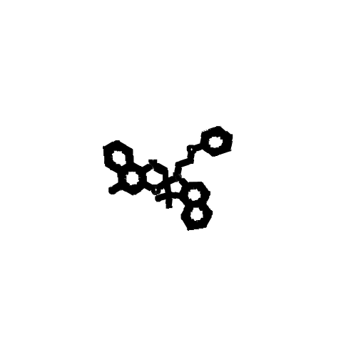 Cc1cc2c(c3ccccc13)N=CC1(O2)N(CCOc2ccccc2)c2ccc3ccccc3c2C1(C)C